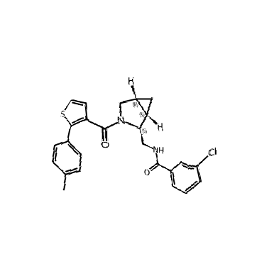 Cc1ccc(-c2sccc2C(=O)N2C[C@@H]3C[C@@H]3[C@H]2CNC(=O)c2cccc(Cl)c2)cc1